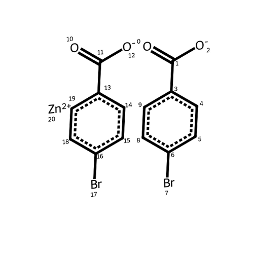 O=C([O-])c1ccc(Br)cc1.O=C([O-])c1ccc(Br)cc1.[Zn+2]